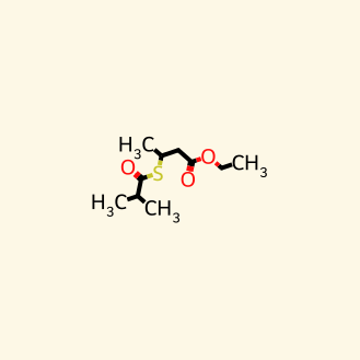 CCOC(=O)CC(C)SC(=O)C(C)C